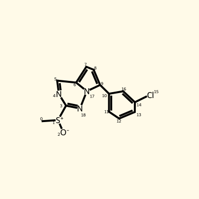 C[S+]([O-])c1ncc2ccc(-c3cccc(Cl)c3)n2n1